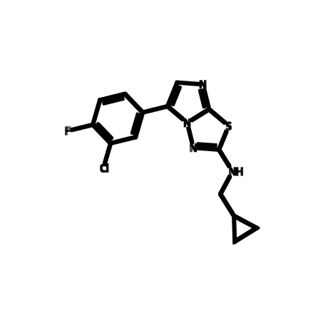 Fc1ccc(-c2cnc3sc(NCC4CC4)nn23)cc1Cl